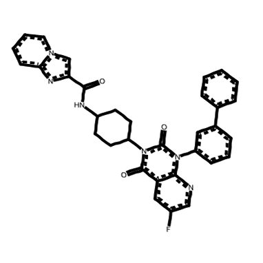 O=C(NC1CCC(n2c(=O)c3cc(F)cnc3n(-c3cccc(-c4ccccc4)c3)c2=O)CC1)c1cn2ccccc2n1